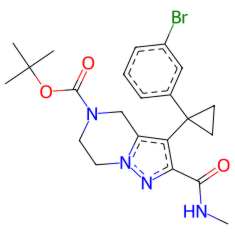 CNC(=O)c1nn2c(c1C1(c3cccc(Br)c3)CC1)CN(C(=O)OC(C)(C)C)CC2